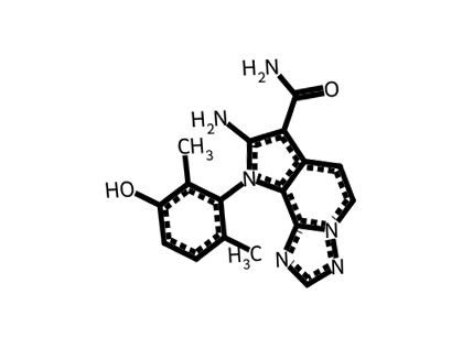 Cc1ccc(O)c(C)c1-n1c(N)c(C(N)=O)c2ccn3ncnc3c21